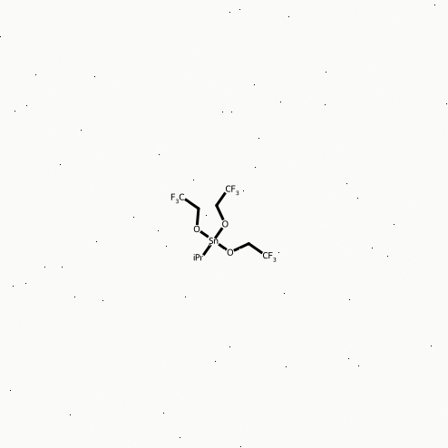 C[CH](C)[Sn]([O]CC(F)(F)F)([O]CC(F)(F)F)[O]CC(F)(F)F